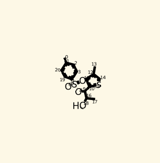 Cc1ccc(S(=O)(=O)OC(c2cc(C)cs2)C(C)O)cc1